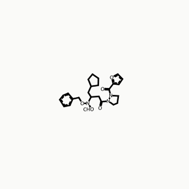 O=CN(OCc1ccccc1)C(CC(=O)N1CCCN1C(=O)c1ccco1)CC1CCCC1